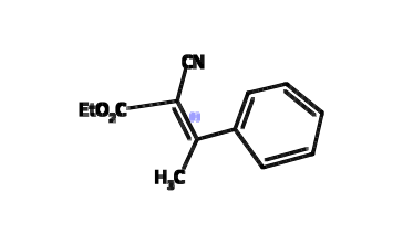 CCOC(=O)/C(C#N)=C(\C)c1ccccc1